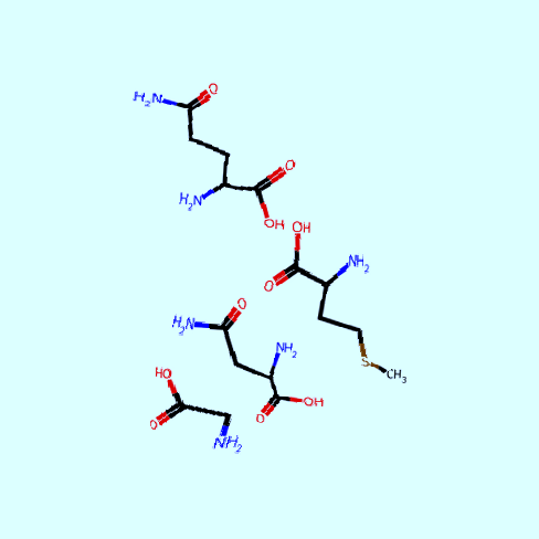 CSCCC(N)C(=O)O.NC(=O)CC(N)C(=O)O.NC(=O)CCC(N)C(=O)O.NCC(=O)O